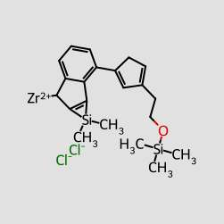 C[Si](C)(C)OCCC1=CCC(c2cccc3c2C2=C([CH]3[Zr+2])[Si]2(C)C)=C1.[Cl-].[Cl-]